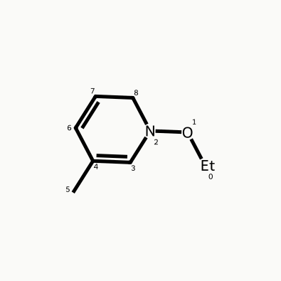 CCON1C=C(C)C=CC1